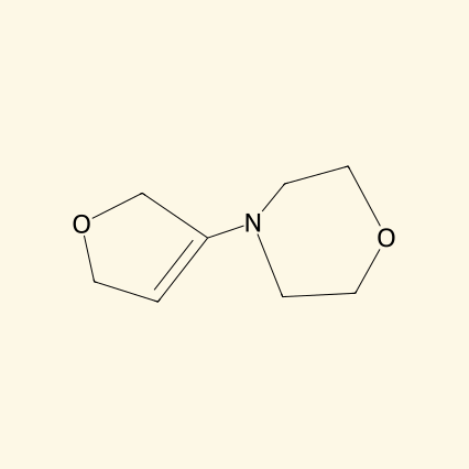 C1=C(N2CCOCC2)COC1